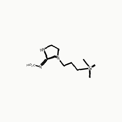 C[Si](C)(C)CCCN1CCN/C1=N\C(=O)O